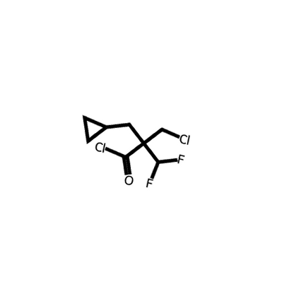 O=C(Cl)C(CCl)(CC1CC1)C(F)F